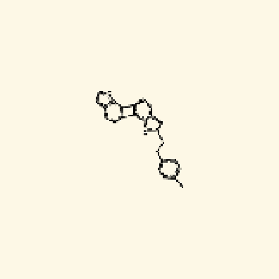 Cc1ccc(CCc2cc3ccc4c(c3s2)-c2ccc3ccsc3c2-4)cc1